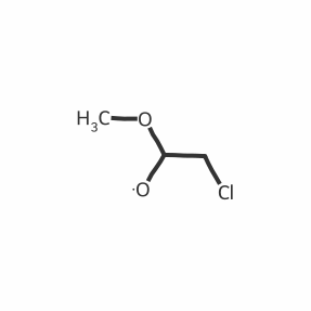 COC([O])CCl